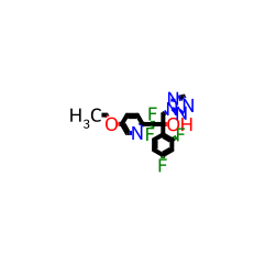 CCOc1ccc(C(F)(F)C(O)(Cn2ncnn2)c2ccc(F)cc2F)nc1